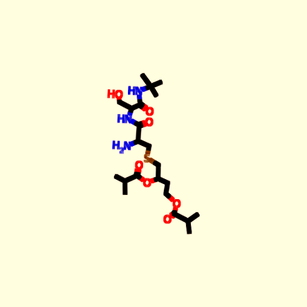 CC(C)C(=O)OCCC(CSCC(N)C(=O)NC(CO)C(=O)NC(C)(C)C)OC(=O)C(C)C